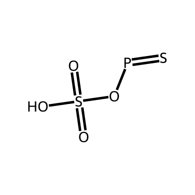 O=S(=O)(O)OP=S